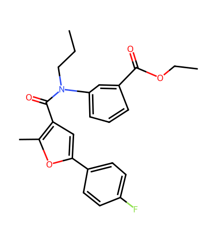 CCCN(C(=O)c1cc(-c2ccc(F)cc2)oc1C)c1cccc(C(=O)OCC)c1